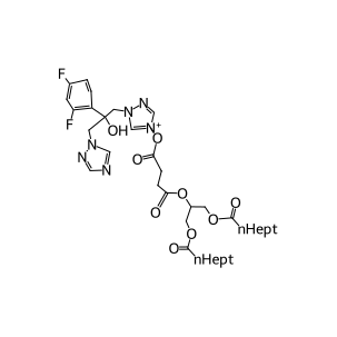 CCCCCCCC(=O)OCC(COC(=O)CCCCCCC)OC(=O)CCC(=O)O[n+]1cnn(CC(O)(Cn2cncn2)c2ccc(F)cc2F)c1